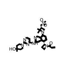 C=CC(=O)N1CC[C@@H]1c1ccc(N2C[C@H](CS(C)(=O)=O)C2(C)C)c2cnc(Nc3ccnc(N4CCC(C)(O)CC4)n3)cc12